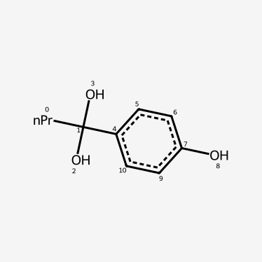 CCCC(O)(O)c1ccc(O)cc1